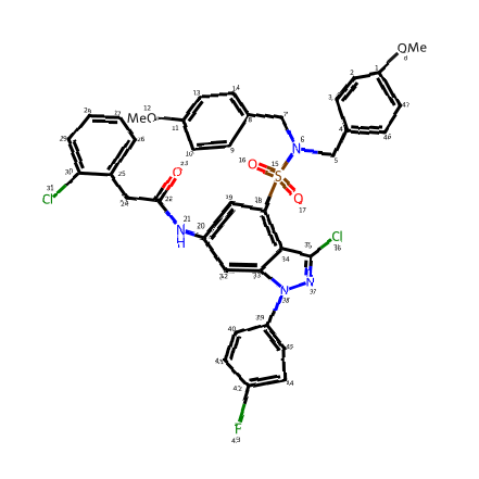 COc1ccc(CN(Cc2ccc(OC)cc2)S(=O)(=O)c2cc(NC(=O)Cc3ccccc3Cl)cc3c2c(Cl)nn3-c2ccc(F)cc2)cc1